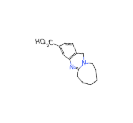 O=C(O)c1ccc2c(c1)N=C1CCCCCCN1C2